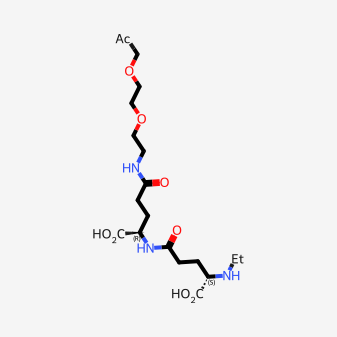 CCN[C@@H](CCC(=O)N[C@H](CCC(=O)NCCOCCOCC(C)=O)C(=O)O)C(=O)O